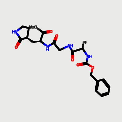 COC(=O)[C@H](C[C@@H]1CCNC1=O)NC(=O)CNC(=O)C(NC(=O)OCc1ccccc1)C(C)C